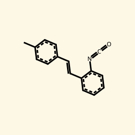 Cc1ccc(C=Cc2ccccc2N=C=O)cc1